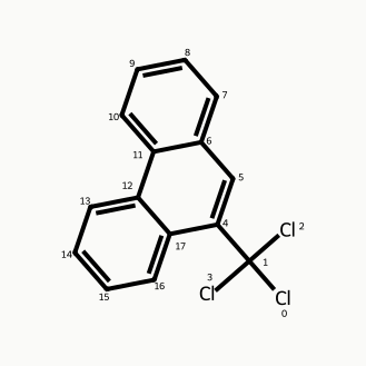 ClC(Cl)(Cl)c1cc2ccccc2c2ccccc12